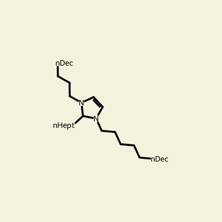 CCCCCCCCCCCCCCCN1C=CN(CCCCCCCCCCCCC)C1CCCCCCC